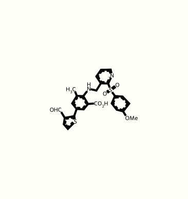 COc1ccc(S(=O)(=O)c2ncccc2CNc2c(C)cc(-c3sccc3C=O)cc2C(=O)O)cc1